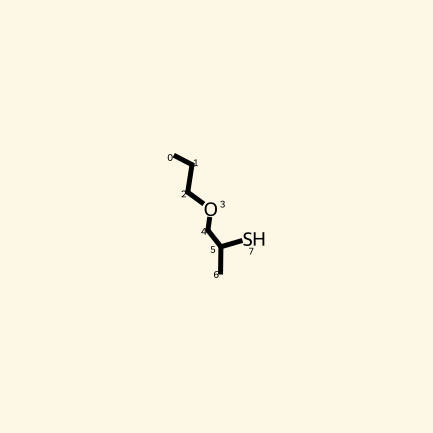 CCCOCC(C)S